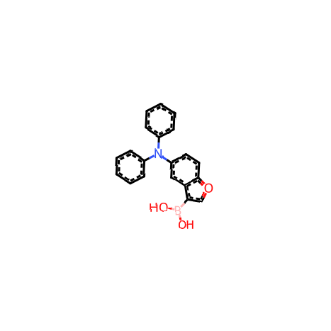 OB(O)c1coc2ccc(N(c3ccccc3)c3ccccc3)cc12